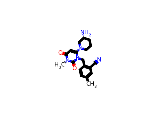 Cc1ccc(Cn2c(N3CCC[C@@H](N)C3)cc(=O)n(C)c2=O)c(C#N)c1